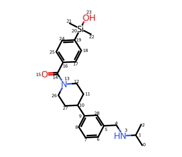 CC(C)NCc1cccc(C2CCN(C(=O)c3ccc([Si](C)(C)O)cc3)CC2)c1